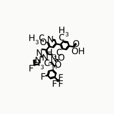 COc1ncc(-c2c(C)cc(C(=O)O)cc2C)cc1-c1cnc(N2CC(F)C2)nc1CN1C(=O)O[C@H](c2cc(F)cc(C(F)(F)F)c2)[C@@H]1C